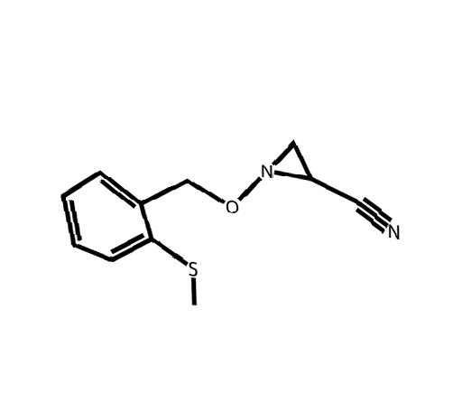 CSc1ccccc1CON1CC1C#N